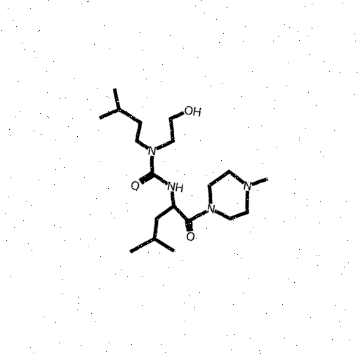 CC(C)CCN(CCO)C(=O)NC(CC(C)C)C(=O)N1CCN(C)CC1